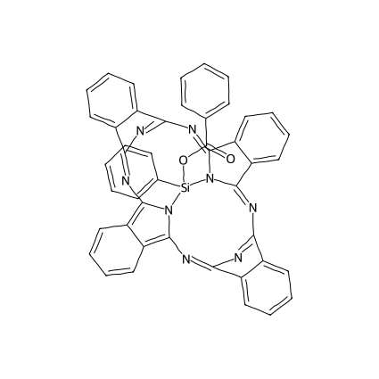 O=C(O[Si]1(c2ccccc2)n2c3c4ccccc4c2/N=C2N=C(/N=c4/c5ccccc5/c(n41)=N/C1=NC(=N\3)/c3ccccc31)c1ccccc1\2)c1ccccc1